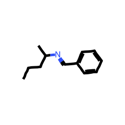 CCCC(C)N=Cc1ccccc1